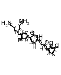 NCCCN(CCCN)Cc1ccc(-c2c[nH]c(NCC(=O)Nc3cccc(Cl)c3Cl)nc2=O)cc1F